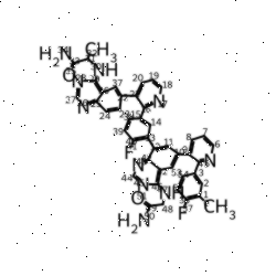 Cc1cc(-c2ncccc2-c2cc(-c3cc(-c4ncccc4-c4ccc5ncnc(NC(C)C(N)=O)c5c4)ccc3F)c3ncnc(NCC(N)=O)c3c2)ccc1F